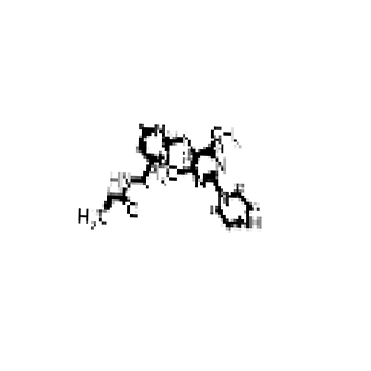 C=CC(=O)NCc1ccnc(Sc2c(C)nc(N3CCNCC3)nc2C)n1